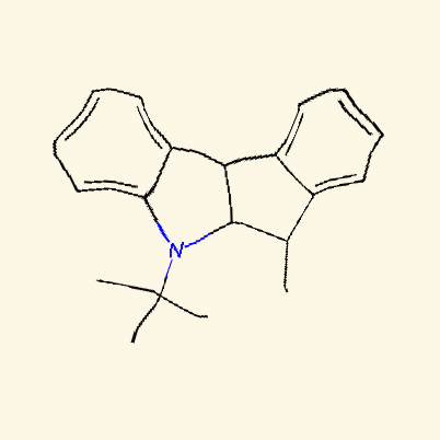 CC1c2ccccc2C2c3ccccc3N(C(C)(C)C)C12